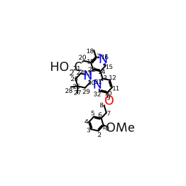 COc1ccccc1CCOc1ccc(-c2cnc(C)c(CC(=O)O)c2N2CCC(C)(C)CC2)nc1